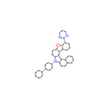 c1ccc(-c2ccc(-n3c4ccc5ccccc5c4c4c5c(ccc43)oc3c(-c4ncccn4)cccc35)cc2)cc1